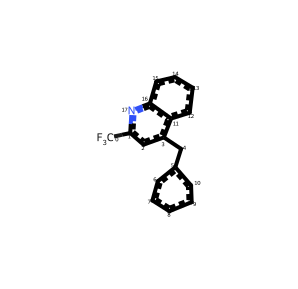 FC(F)(F)c1cc(Cc2cc[c]cc2)c2ccccc2n1